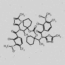 Cc1nnc(N(C(=O)c2ccc(C(F)(F)F)c([S+](C)[O-])c2Cl)C(C)C2(OC(=O)OC3(C(C)N(C(=O)c4ccc(C(F)(F)F)c([S+](C)[O-])c4Cl)c4nnc(C)o4)CCCCC3)CCCCC2)o1